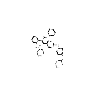 O=c1c(-c2ccccc2S(=O)(=O)C2CCOCC2)cc2cnc(Nc3ccc(OC4CCCNC4)cc3)nc2n1-c1ccccc1